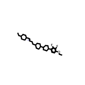 CCOc1ccc(C2CCC(C3CCC(CC/C=C/C4CCC(CC)CC4)CC3)CC2)c(F)c1F